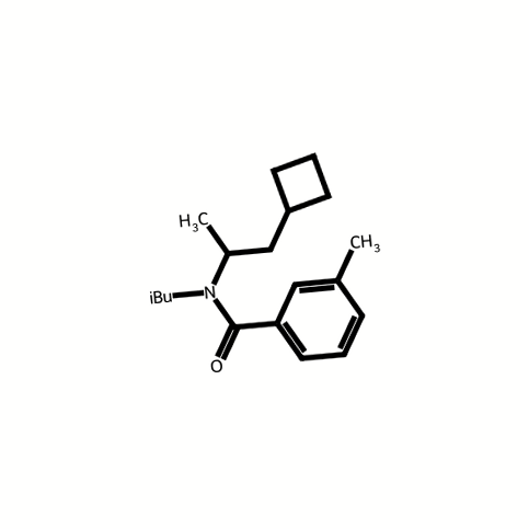 CCC(C)N(C(=O)c1cccc(C)c1)C(C)CC1CCC1